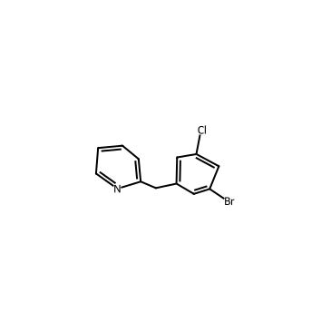 Clc1cc(Br)cc(Cc2ccccn2)c1